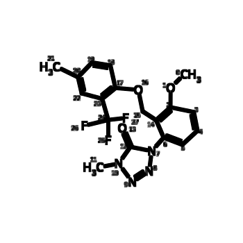 COc1cccc(-n2nnn(C)c2=O)c1COc1ccc(C)cc1C(F)(F)F